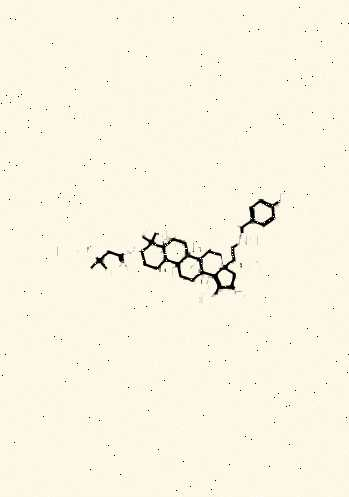 CC(=O)O[C@@H](CNCc1ccc(F)cc1)[C@@]12CC[C@]3(C)[C@H](CC[C@H]4[C@H]3CC[C@H]3C(C)(C)[C@@H](OC(=O)CC(C)(C)C(=O)O)CC[C@]43C)C1=C(C(C)C)C(=O)C2